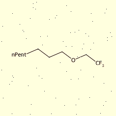 [CH2]CCCCCCCOCC(F)(F)F